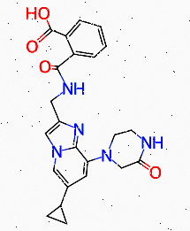 O=C1CN(c2cc(C3CC3)cn3cc(CNC(=O)c4ccccc4C(=O)O)nc23)CCN1